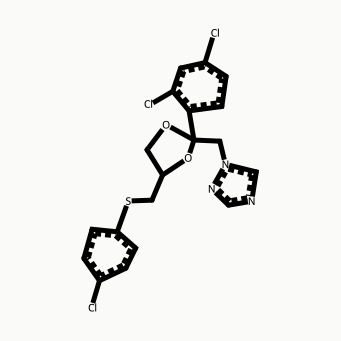 Clc1ccc(SCC2COC(Cn3cncn3)(c3ccc(Cl)cc3Cl)O2)cc1